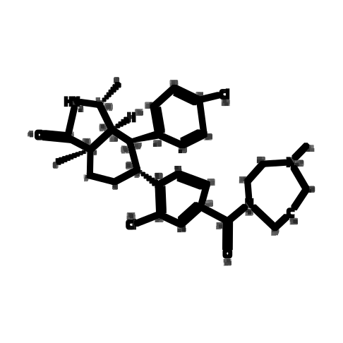 C[C@H]1NC(=O)[C@]2(C)CC[C@@H](c3ccc(C(=O)N4CCCN(C)CC4)cc3Cl)[C@H](c3ccc(Cl)cc3)[C@H]12